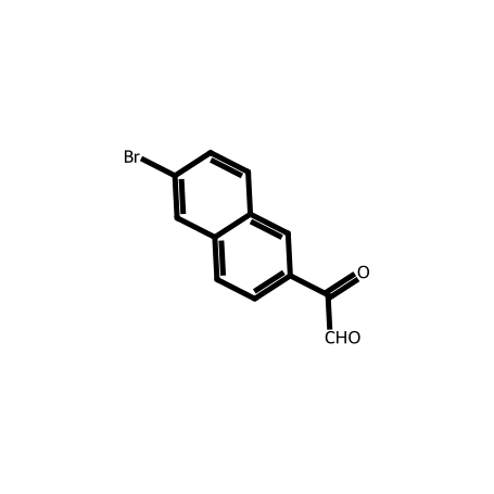 O=CC(=O)c1ccc2cc(Br)ccc2c1